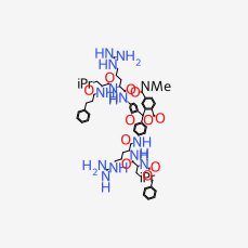 CNC(=O)c1ccc2c(c1)C1(OC2=O)c2ccc(NC(=O)C(CCCNC(=N)N)NC(=O)C(CC(C)C)NC(=O)CCc3ccccc3)cc2Oc2cc(NC(=O)C(CCCNC(=N)N)NC(=O)C(CC(C)C)NC(=O)OCc3ccccc3)ccc21